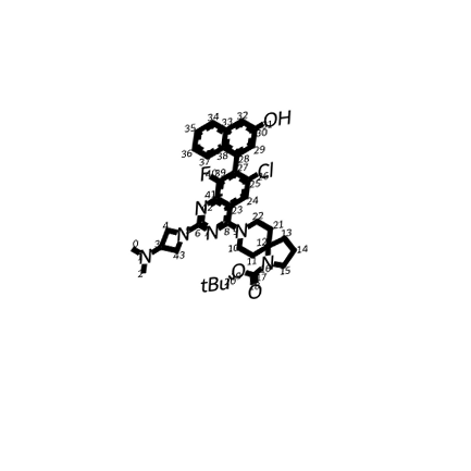 CN(C)C1CN(c2nc(N3CCC4(CCCN4C(=O)OC(C)(C)C)CC3)c3cc(Cl)c(-c4cc(O)cc5ccccc45)c(F)c3n2)C1